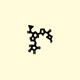 O=C1NC(=O)/C(=C/c2cnn3c(NC4CC4)cc(C4CC=C(C(=O)N5CC(F)C5)S4)nc23)N1